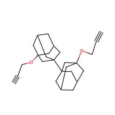 C#CCOC12CC3CC(C1)CC(C14CC5CC(CC(OCC#C)(C5)C1)C4)(C3)C2